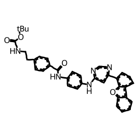 CC(C)(C)OC(=O)NCCc1ccc(C(=O)Nc2ccc(Nc3cc(-c4cccc5c4oc4ccccc45)ncn3)cc2)cc1